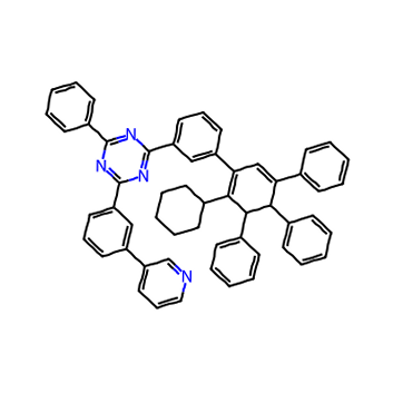 C1=C(c2ccccc2)C(c2ccccc2)C(c2ccccc2)C(C2CCCCC2)=C1c1cccc(-c2nc(-c3ccccc3)nc(-c3cccc(-c4cccnc4)c3)n2)c1